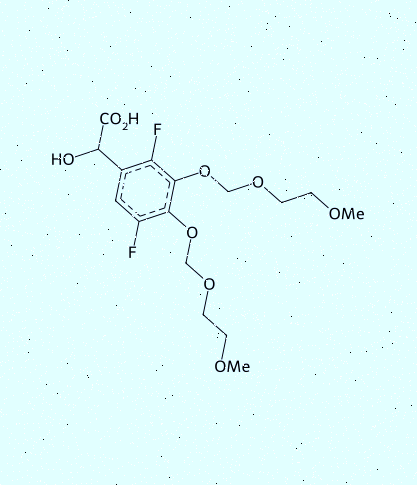 COCCOCOc1c(F)cc(C(O)C(=O)O)c(F)c1OCOCCOC